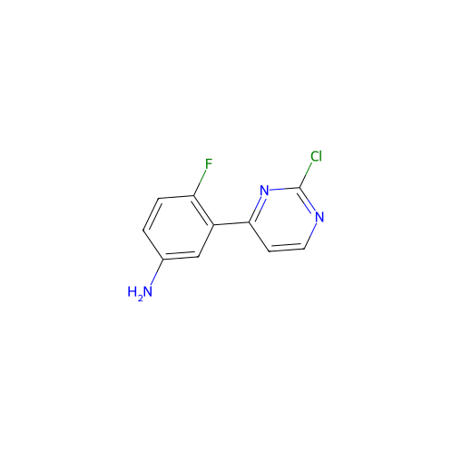 Nc1ccc(F)c(-c2ccnc(Cl)n2)c1